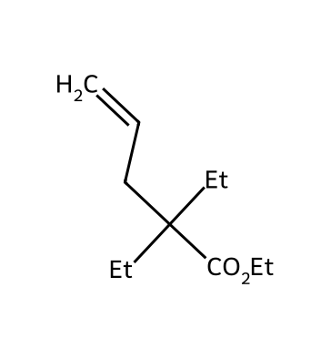 C=CCC(CC)(CC)C(=O)OCC